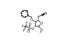 COC1O[C@H](CC#N)[C@H](OCc2ccccc2)[C@H]1OS(=O)(=O)C(F)(F)F